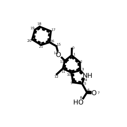 Cc1cc2[nH]c(C(=O)O)cc2c(C)c1OCc1ccccc1